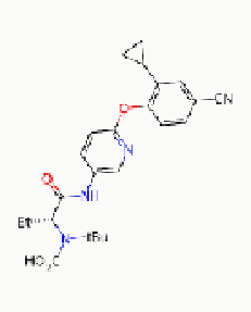 CC[C@H](C(=O)Nc1ccc(Oc2ccc(C#N)cc2C2CC2)nc1)N(C(=O)O)C(C)(C)C